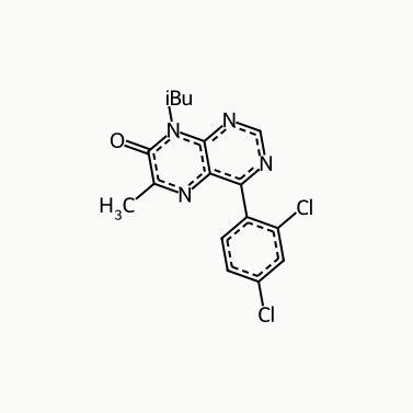 CCC(C)n1c(=O)c(C)nc2c(-c3ccc(Cl)cc3Cl)ncnc21